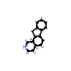 c1ccc2c(c1)Cc1c-2ccc2ccncc12